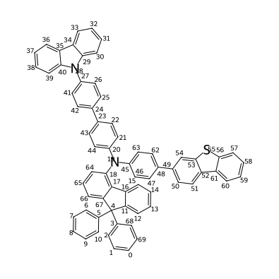 c1ccc(C2(c3ccccc3)c3ccccc3-c3c(N(c4ccc(-c5ccc(-n6c7ccccc7c7ccccc76)cc5)cc4)c4ccc(-c5ccc6c(c5)sc5ccccc56)cc4)cccc32)cc1